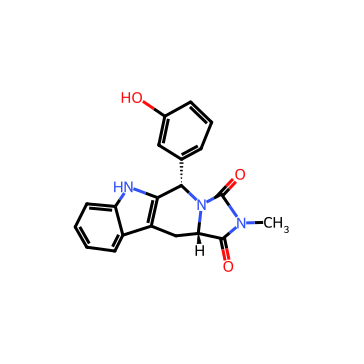 CN1C(=O)[C@@H]2Cc3c([nH]c4ccccc34)[C@H](c3cccc(O)c3)N2C1=O